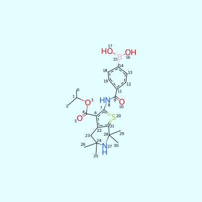 CC(C)OC(=O)c1c(NC(=O)c2ccc(B(O)O)cc2)sc2c1CC(C)(C)NC2(C)C